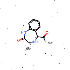 CC[C@H](C)[C@@H]1NC(C(=O)OC)c2ccccc2NC1=O